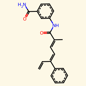 C=C/C(=C\C=C(/C)C(=O)Nc1cccc(C(N)=O)c1)c1ccccc1